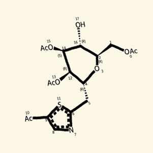 CC(=O)OC[C@H]1O[C@H](Cc2ncc(C(C)=O)s2)[C@@H](OC(C)=O)[C@@H](OC(C)=O)[C@@H]1O